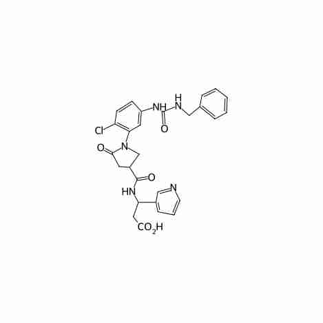 O=C(O)CC(NC(=O)C1CC(=O)N(c2cc(NC(=O)NCc3ccccc3)ccc2Cl)C1)c1cccnc1